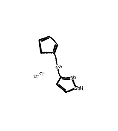 C1=CC[C]([Zr+2][C]2=[Sb][SbH][CH]=C2)=C1.[Cl-].[Cl-]